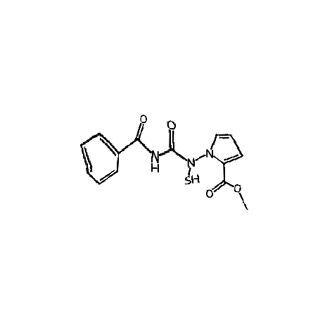 COC(=O)c1cccn1N(S)C(=O)NC(=O)c1ccccc1